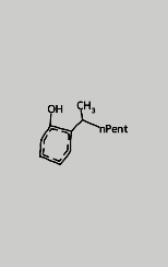 CCCCCC(C)c1ccccc1O